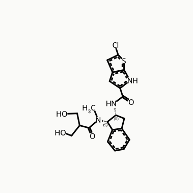 CN(C(=O)C(CO)CO)[C@H]1c2ccccc2C[C@H]1NC(=O)c1cc2cc(Cl)sc2[nH]1